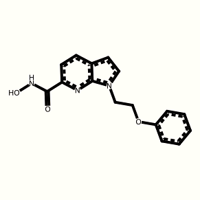 O=C(NO)c1ccc2ccn(CCOc3ccccc3)c2n1